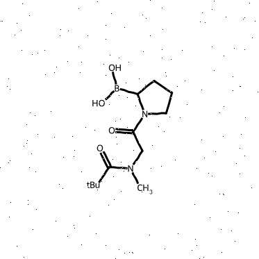 CN(CC(=O)N1CCCC1B(O)O)C(=O)C(C)(C)C